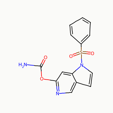 NC(=O)Oc1cc2c(ccn2S(=O)(=O)c2ccccc2)cn1